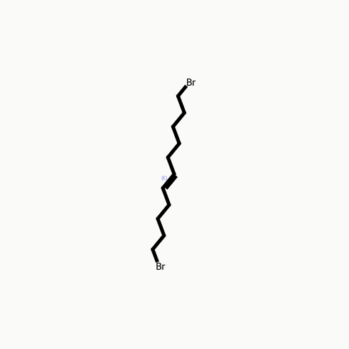 BrCCCC/C=C/CCCCCBr